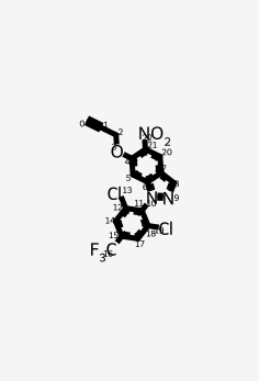 C#CCOc1cc2c(cnn2-c2c(Cl)cc(C(F)(F)F)cc2Cl)cc1[N+](=O)[O-]